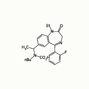 CCCCN(C(=O)O)C(C)c1ccc2c(c1)C(c1ccccc1F)=NCC(=O)N2CC